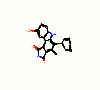 Cc1c2c(c3c([nH]c4ccc(O)cc43)c1-c1ccccc1)C(=O)NC2=O